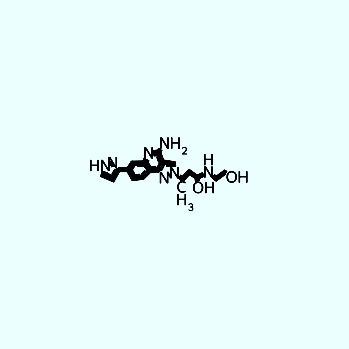 CC(CC(O)NCCO)n1cc2c(N)nc3cc(-c4cc[nH]n4)ccc3c2n1